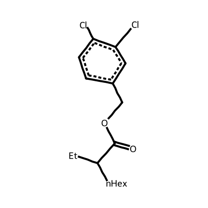 CCCCCCC(CC)C(=O)OCc1ccc(Cl)c(Cl)c1